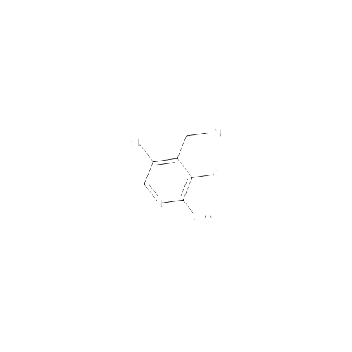 COc1ncc(Cl)c(CC#N)c1Cl